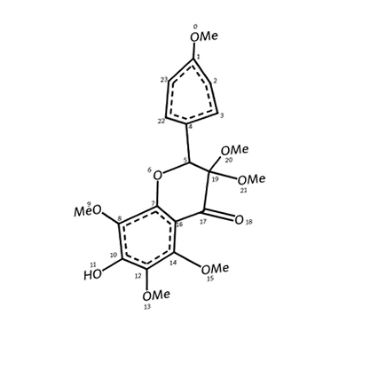 COc1ccc(C2Oc3c(OC)c(O)c(OC)c(OC)c3C(=O)C2(OC)OC)cc1